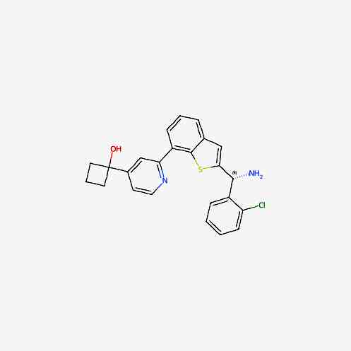 N[C@@H](c1cc2cccc(-c3cc(C4(O)CCC4)ccn3)c2s1)c1ccccc1Cl